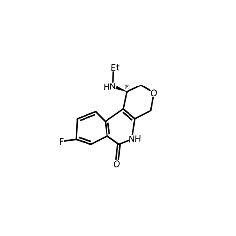 CCN[C@H]1COCc2[nH]c(=O)c3cc(F)ccc3c21